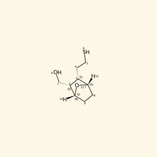 OC[C@@H]1[C@H](CCS)[C@@H]2CC[C@H]1O2